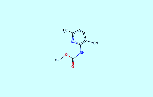 Cc1ccc(C#N)c(NC(=O)OC(C)(C)C)n1